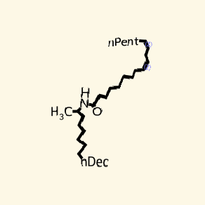 CCCCC/C=C\C/C=C\CCCCCCCC(=O)NC(C)CCCCCCCCCCCCCCCC